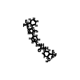 COc1ccc(NC(=O)NCC23CCC(c4nnc(-c5ccccc5C(F)(F)F)n4C)(CC2)CC3)cc1C(F)(F)F